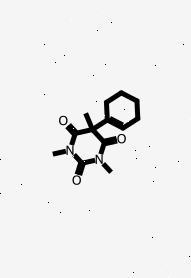 CN1C(=O)N(C)C(=O)C(C)(C2=CCCCC2)C1=O